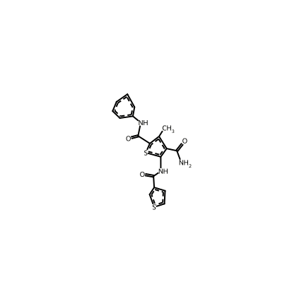 Cc1c(C(=O)Nc2ccccc2)sc(NC(=O)c2ccsc2)c1C(N)=O